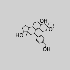 C[C@]12C[C@H](c3ccc(CO)cc3)C3=C4CCC5(CCCO5)C[C@]4(O)CCC3C1CC[C@@H]2O